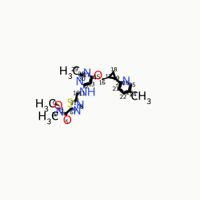 CON(C)C(=O)c1nnc(CNc2cc(OC[C@H]3CC3c3ccc(C)cn3)nc(C)n2)s1